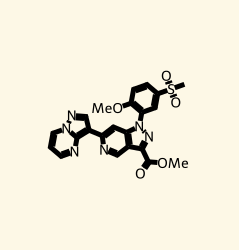 COC(=O)c1nn(-c2cc(S(C)(=O)=O)ccc2OC)c2cc(-c3cnn4cccnc34)ncc12